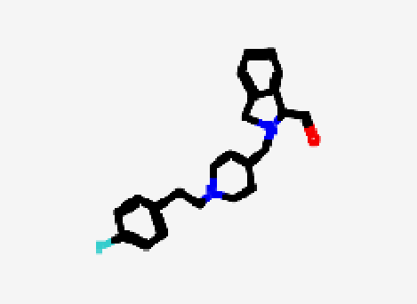 O=CC1c2ccccc2CN1CC1CCN(CCc2ccc(F)cc2)CC1